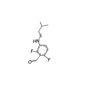 CC(C)CSNc1ccc(F)c(C=O)c1F